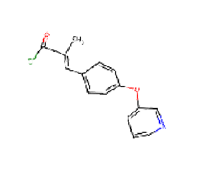 C/C(=C\c1ccc(Oc2cccnc2)cc1)C(=O)Cl